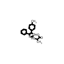 CC(S)C(=O)O.Cc1ccc(-c2ocnc2-c2ccccc2)cc1